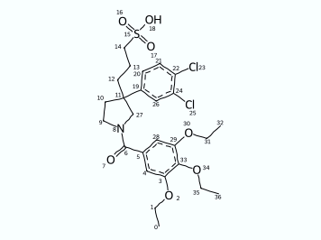 CCOc1cc(C(=O)N2CCC(CCCS(=O)(=O)O)(c3ccc(Cl)c(Cl)c3)C2)cc(OCC)c1OCC